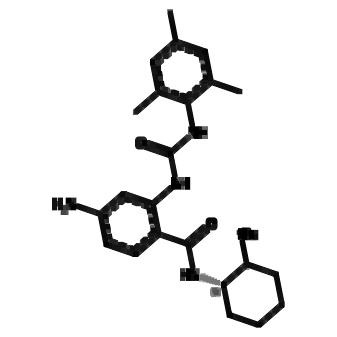 Cc1cc(C)c(NC(=O)Nc2cc(N)ccc2C(=O)N[C@H]2CCCC[C]2C(C)(C)C)c(C)c1